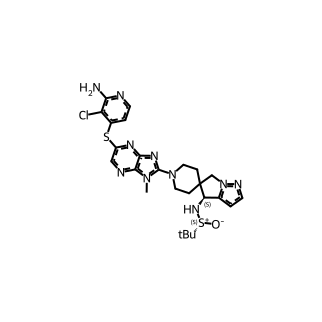 Cn1c(N2CCC3(CC2)Cn2nccc2[C@H]3N[S@+]([O-])C(C)(C)C)nc2nc(Sc3ccnc(N)c3Cl)cnc21